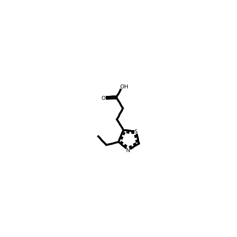 CCc1ncsc1CCC(=O)O